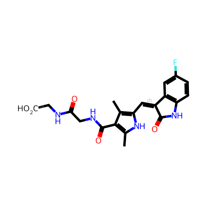 Cc1[nH]c(/C=C2\C(=O)Nc3ccc(F)cc32)c(C)c1C(=O)NCC(=O)NCC(=O)O